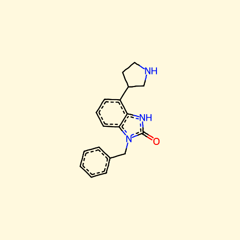 O=c1[nH]c2c(C3CCNC3)cccc2n1Cc1ccccc1